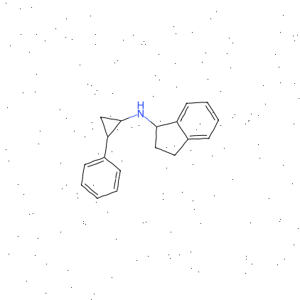 c1ccc(C2CC2NC2CCc3ccccc32)cc1